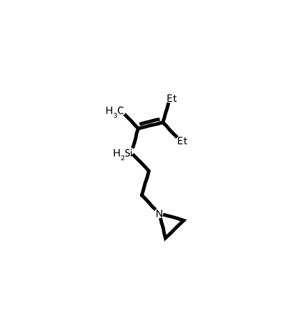 CCC(CC)=C(C)[SiH2]CCN1CC1